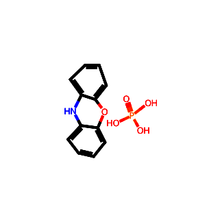 O=P(O)(O)O.c1ccc2c(c1)Nc1ccccc1O2